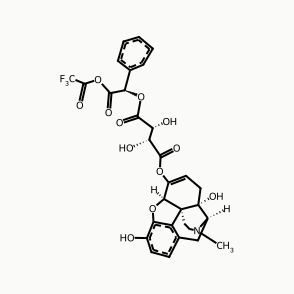 CN1CC[C@]23c4c5ccc(O)c4O[C@H]2C(OC(=O)[C@H](O)[C@@H](O)C(=O)O[C@@H](C(=O)OC(=O)C(F)(F)F)c2ccccc2)=CC[C@@]3(O)[C@H]1C5